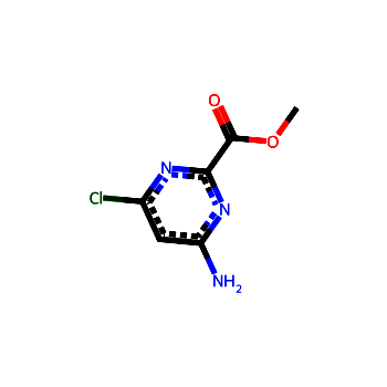 COC(=O)c1nc(N)cc(Cl)n1